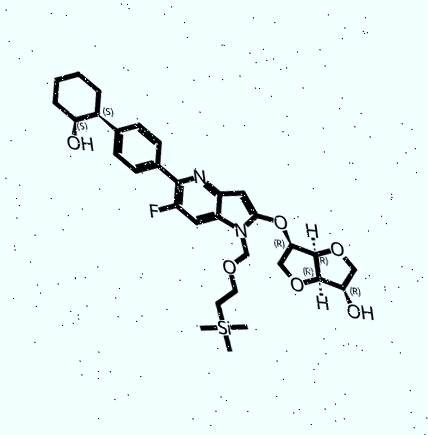 C[Si](C)(C)CCOCn1c(O[C@@H]2CO[C@H]3[C@@H]2OC[C@H]3O)cc2nc(-c3ccc([C@@H]4CCCC[C@@H]4O)cc3)c(F)cc21